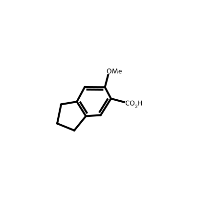 COc1cc2c(cc1C(=O)O)CCC2